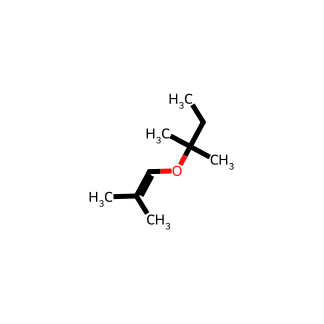 CCC(C)(C)OC=C(C)C